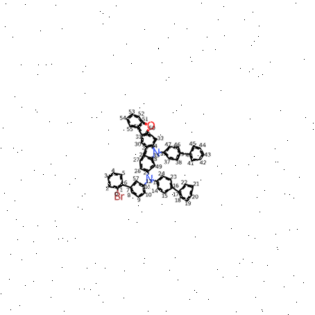 Brc1ccccc1-c1cccc(N(c2ccc(-c3ccccc3)cc2)c2ccc3c4cc5c(cc4n(-c4ccc(-c6ccccc6)cc4)c3c2)oc2ccccc25)c1